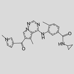 Cc1ccc(C(=O)NC2CC2)cc1Nc1ncnn2cc(C(=O)c3ccn(C)c3)c(C)c12